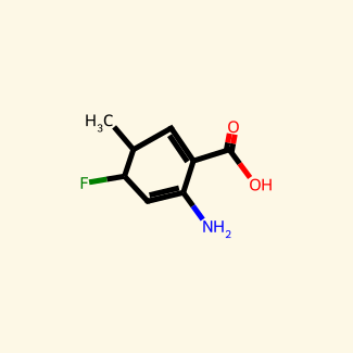 CC1C=C(C(=O)O)C(N)=CC1F